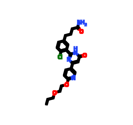 CCCOCCOc1ccc(-c2cc(=O)[nH]c(-c3cc(CCCC(N)=O)ccc3Cl)n2)cn1